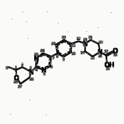 CC1CN(c2ncc(-c3ccc(CN4CCN(C(=O)O)CC4)cc3)cn2)CCO1